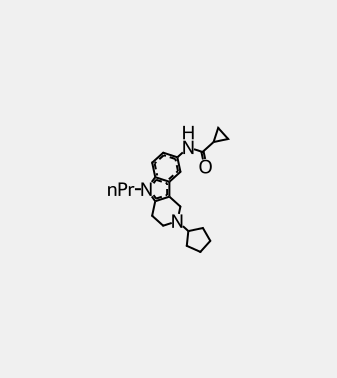 CCCn1c2c(c3cc(NC(=O)C4CC4)ccc31)CN(C1CCCC1)CC2